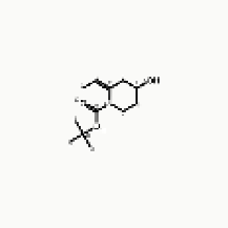 C/C=C1/CC(O)CCN1C(=O)OC(C)(C)C